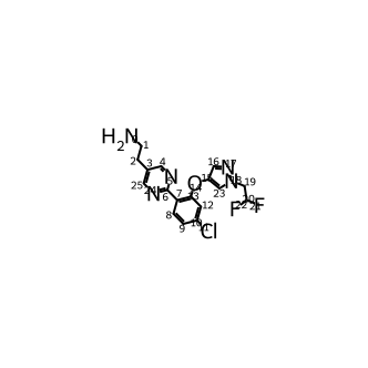 NCCc1cnc(-c2ccc(Cl)cc2Oc2cnn(CC(F)F)c2)nc1